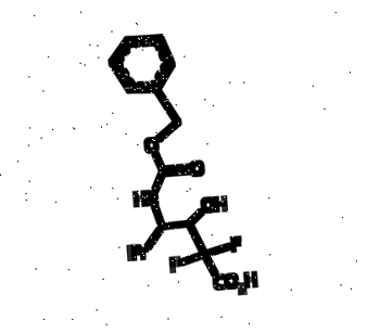 CC(C)C(NC(=O)OCc1ccccc1)C(O)C(F)(F)C(=O)O